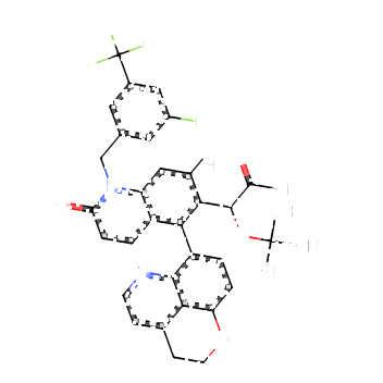 CC(=O)C(OC(C)(C)C)c1c(C)cc2c(ccc(=O)n2Cc2cc(F)cc(C(F)(F)F)c2)c1-c1ccc2c3c(ccnc13)CCO2